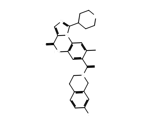 Cc1cc2c(cc1C(=O)N1CCc3ccc(C(F)(F)F)cc3C1)[nH]c(=O)c1cnc(C3CCOCC3)n12